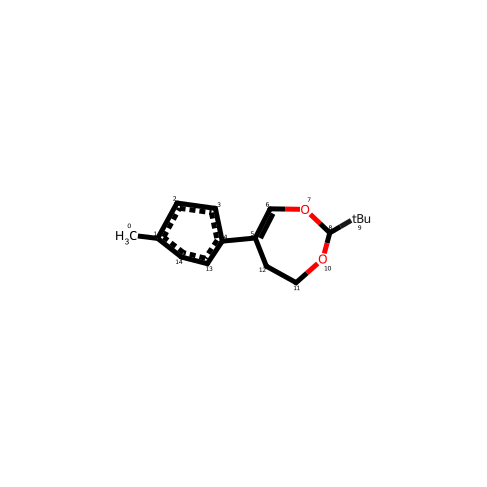 Cc1ccc(C2=COC(C(C)(C)C)OCC2)cc1